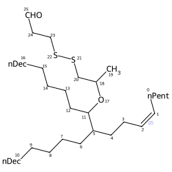 CCCCC/C=C\CCC(CCCCCCCCCCCCCC)C(CCCCCCCCCCCCCC)OC(C)CSSCCC=O